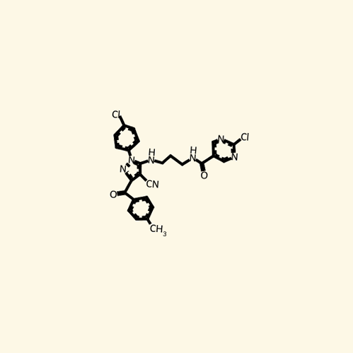 Cc1ccc(C(=O)c2nn(-c3ccc(Cl)cc3)c(NCCCNC(=O)c3cnc(Cl)nc3)c2C#N)cc1